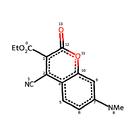 CCOC(=O)c1c(C#N)c2ccc(NC)cc2oc1=O